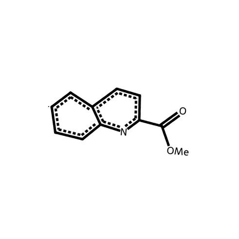 COC(=O)c1ccc2c[c]ccc2n1